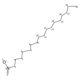 C=[N+]([O-])CCCCCCCCCCCCCCCCC